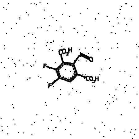 O=Ic1c(C(=O)O)cc(F)c(F)c1C(=O)O